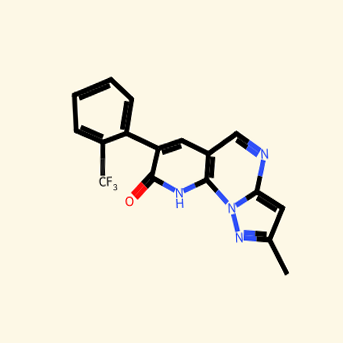 Cc1cc2ncc3cc(-c4ccccc4C(F)(F)F)c(=O)[nH]c3n2n1